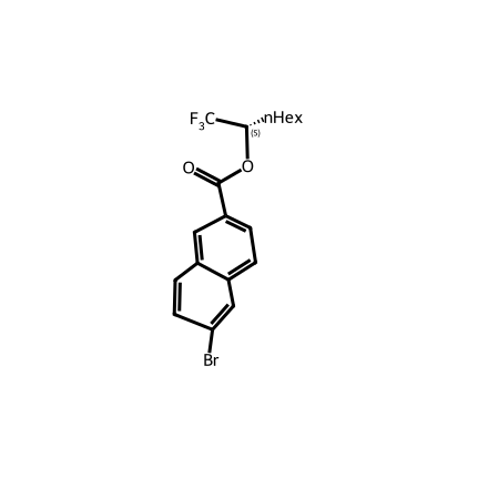 CCCCCC[C@H](OC(=O)c1ccc2cc(Br)ccc2c1)C(F)(F)F